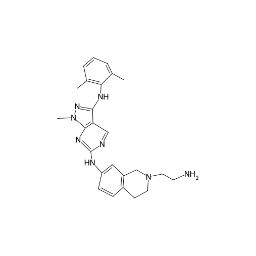 Cc1cccc(C)c1Nc1nn(C)c2nc(Nc3ccc4c(c3)CN(CCN)CC4)ncc12